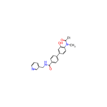 CCC(=O)N(C)c1ccc(-c2ccc(C(=O)NCc3cccnc3)cc2)cc1O